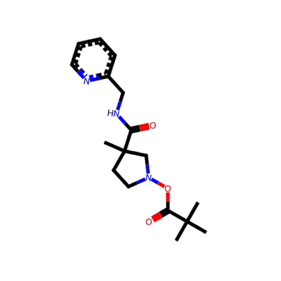 CC(C)(C)C(=O)ON1CCC(C)(C(=O)NCc2ccccn2)C1